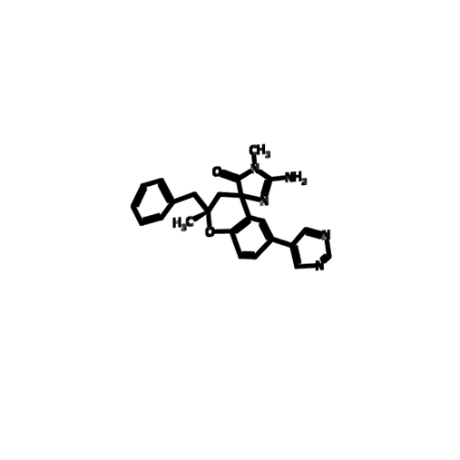 CN1C(=O)C2(C[C@@](C)(Cc3ccccc3)Oc3ccc(-c4cncnc4)cc32)N=C1N